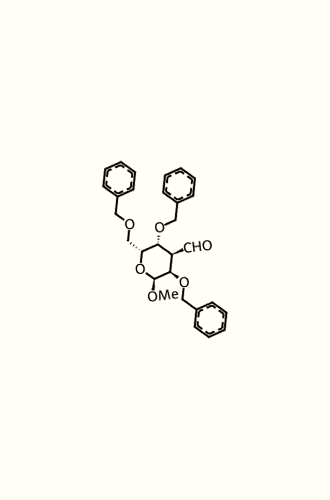 CO[C@H]1O[C@H](COCc2ccccc2)[C@H](OCc2ccccc2)[C@@H](C=O)[C@H]1OCc1ccccc1